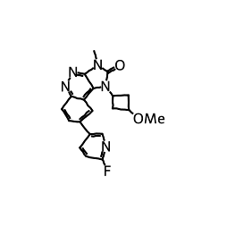 COC1CC(n2c(=O)n(C)c3nnc4ccc(-c5ccc(F)nc5)cc4c32)C1